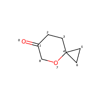 O=C1CCC2(CC2)OC1